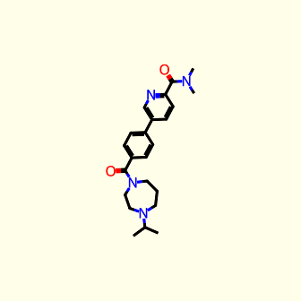 CC(C)N1CCCN(C(=O)c2ccc(-c3ccc(C(=O)N(C)C)nc3)cc2)CC1